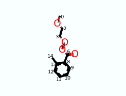 COCCOOC(=O)c1ccccc1C